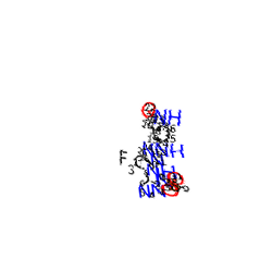 CN(c1ncncc1CNc1nc(Nc2ccc3c(c2)CC(=O)N3)ncc1C(F)(F)F)S(C)(=O)=O